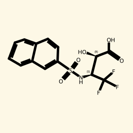 O=C(O)[C@H](O)[C@H](NS(=O)(=O)c1ccc2ccccc2c1)C(F)(F)F